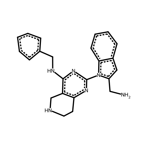 NCc1cc2ccccc2n1-c1nc2c(c(NCc3ccccc3)n1)CNCC2